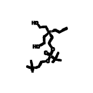 CCC[N+](CCO)(CCO)CCOP(=O)(OCC[N+](C)(C)C)C(C)(C)C